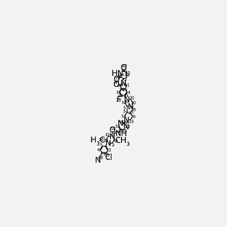 C[C@@H]1CN(c2ccc(C#N)c(Cl)c2)[C@@H](C)CN1C(=O)Nc1cnc(N2CCC(CN3CCN(c4cc5c(cc4F)C(=O)N([C@H]4CCC(=O)NC4=O)C5)CC3)CC2)nc1